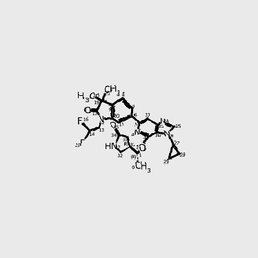 C[C@@H](Oc1nc(-c2ccc3c(c2)N(CC(F)F)C(=O)C3(C)C)cc2ncn(C3CC3)c12)[C@H]1CNC(=O)C1